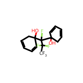 OC1(C(F)(C2(O)C=CC=CC2)C(F)(F)C(F)(F)F)C=CC=CC1